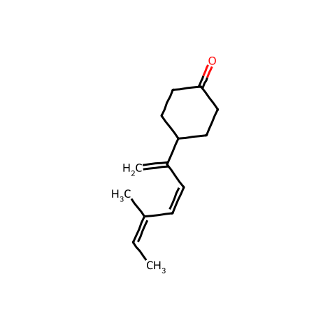 C=C(/C=C\C(C)=C/C)C1CCC(=O)CC1